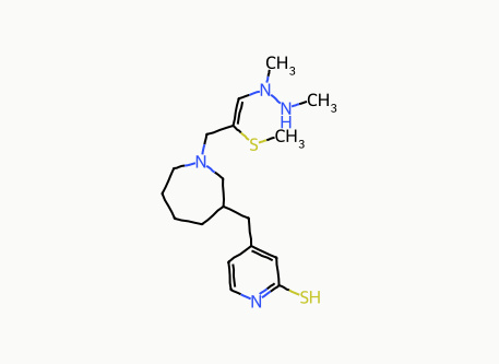 CNN(C)/C=C(/CN1CCCCC(Cc2ccnc(S)c2)C1)SC